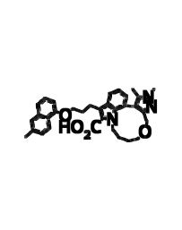 Cc1ccc2c(OCCCc3c(C(=O)O)n4c5c(cccc35)-c3c(nn(C)c3C)COCCCC4)cccc2c1